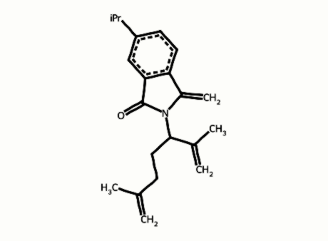 C=C(C)CCC(C(=C)C)N1C(=C)c2ccc(C(C)C)cc2C1=O